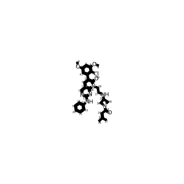 COc1cc(OC)c(Cl)c(-c2cc3cnc(Nc4ccccc4)nc3n(CCNC3CN(C(=O)C=C(C)C)C3)c2=O)c1